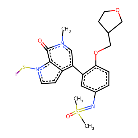 Cn1cc(-c2cc(N=S(C)(C)=O)ccc2OCC2CCOC2)c2ccn(SI)c2c1=O